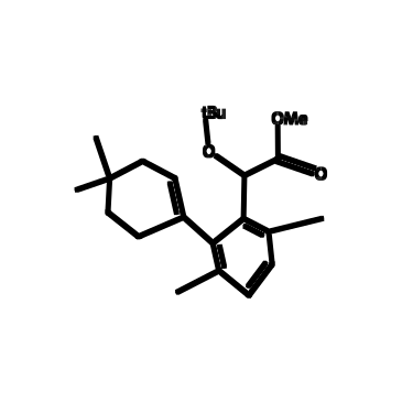 COC(=O)C(OC(C)(C)C)c1c(C)ccc(C)c1C1=CCC(C)(C)CC1